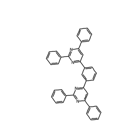 c1ccc(-c2cc(-c3cccc(-c4cc(-c5ccccc5)nc(-c5ccccc5)n4)c3)nc(-c3ccccc3)n2)cc1